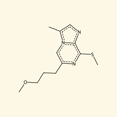 COCCCc1cn2c(C)cnc2c(SC)n1